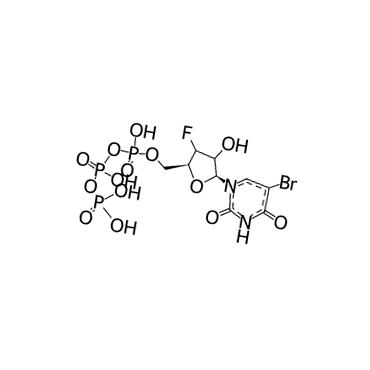 O=c1[nH]c(=O)n([C@H]2O[C@@H](COP(=O)(O)OP(=O)(O)OP(=O)(O)O)C(F)C2O)cc1Br